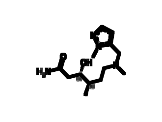 C[C@H](CCN(C)Cc1ccnn1C)[C@@H](O)CC(N)=O